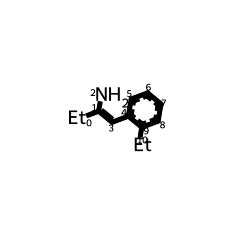 CCC(N)=Cc1ccccc1CC